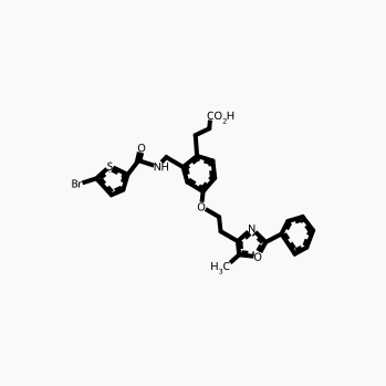 Cc1oc(-c2ccccc2)nc1CCOc1ccc(CCC(=O)O)c(CNC(=O)c2ccc(Br)s2)c1